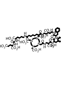 O=C(O)CC[C@H](NC(=O)N[C@@H](CCCCNC(=O)CCCCCCC(=O)NCCCCC(NC(=O)C(Cc1ccccc1)NC(=O)C(Cc1ccccc1)NC(=O)C(CNC(=O)CN1CCN(CC(=O)O)CCN(CC(=O)O)CCN(CC(=O)O)CC1)C(=O)O)C(=O)O)C(=O)O)C(=O)O